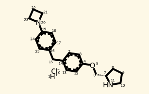 [Cl-].[H+].c1cc(OC[C@@H]2CCCN2)ccc1Cc1ccc(N2CCC2)cc1